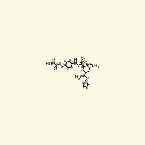 C=C[C@]1(C)CC[C@@H](C(=C)Cn2cccn2)C[C@H]1C(=C)CNc1ccc(CCC(=O)NO)cc1